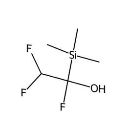 C[Si](C)(C)C(O)(F)C(F)F